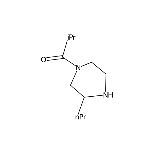 CCCC1CN(C(=O)C(C)C)CCN1